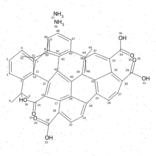 CC(C)c1cccc(C(C)C)c1-c1c(C(=O)O)c2c(C(=O)O)ccc3c4ccc(C(=O)O)c5c(C(=O)O)ccc(c(c1-c1c(C(C)C)cccc1C(C)C)c23)c54.N.N